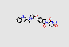 CC(c1cnc2ccccc2c1)N1CC[C@@H](Oc2ccc3c(c2)CN(C2CCC(=O)NC2=O)C3=O)C1